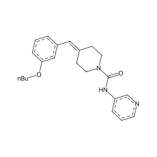 CCCCOc1cccc(C=C2CCN(C(=O)Nc3cccnc3)CC2)c1